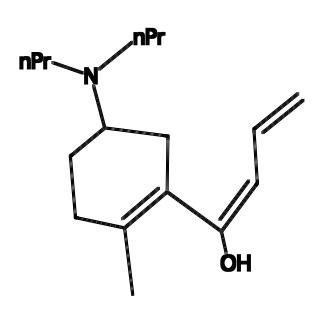 C=C/C=C(/O)C1=C(C)CCC(N(CCC)CCC)C1